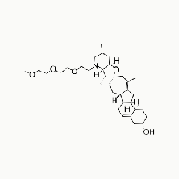 COCCOCCOCCN1C[C@@H](C)C[C@H]2O[C@]3(CC[C@@H]4C(=C(C)C3)C[C@H]3[C@H]4CC=C4C[C@@H](O)CC[C@@]43C)[C@H](C)[C@@H]21